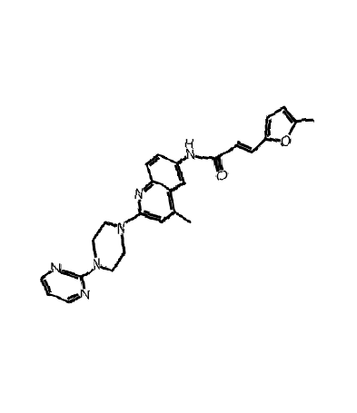 Cc1ccc(C=CC(=O)Nc2ccc3nc(N4CCN(c5ncccn5)CC4)cc(C)c3c2)o1